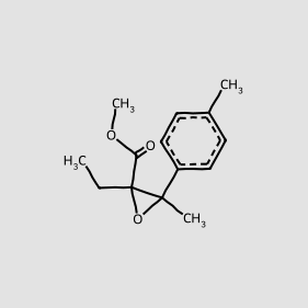 CCC1(C(=O)OC)OC1(C)c1ccc(C)cc1